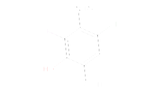 CC(=O)Nc1c(Cl)cc(C(=O)O)c(O)c1I